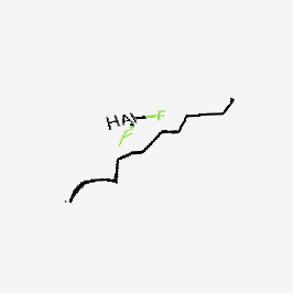 [CH2]CCCCCCCCC.[F][AlH][F]